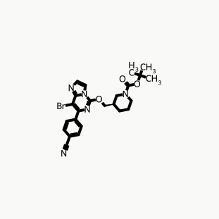 CC(C)(C)OC(=O)N1CCC[C@@H](COc2nc(-c3ccc(C#N)cc3)c(Br)c3nccn23)C1